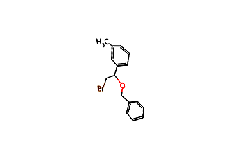 Cc1cccc(C(CBr)OCc2ccccc2)c1